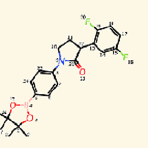 CC1(C)OB(c2ccc(N3CCC(c4cc(F)ccc4F)C3=O)cc2)OC1(C)C